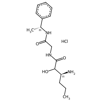 CCC[C@H](N)C(O)C(=O)NCC(=O)N[C@H](C)c1ccccc1.Cl